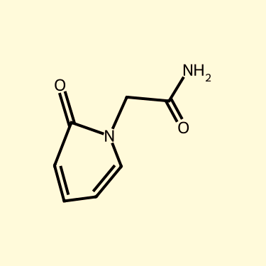 NC(=O)Cn1ccccc1=O